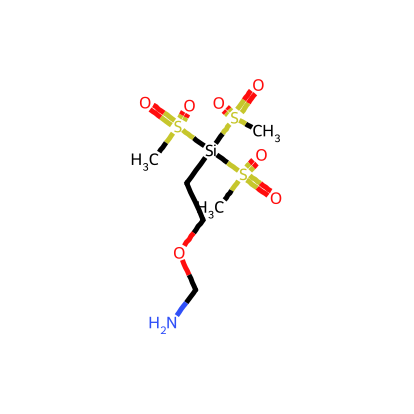 CS(=O)(=O)[Si](CCOCN)(S(C)(=O)=O)S(C)(=O)=O